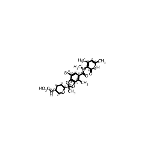 Cc1cc(C)c(N(C)C(=O)c2cc(Br)c3c(c2C)OC(C)([C@@H]2CC[C@@H](NC(=O)O)CO2)O3)c(=O)[nH]1